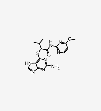 COc1ccnc(NC(=O)[C@@H](Sc2nc(N)nc3nc[nH]c23)C(C)C)n1